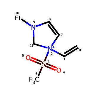 C=C[N+]1(S(=O)(=O)C(F)(F)F)C=CN(CC)C1